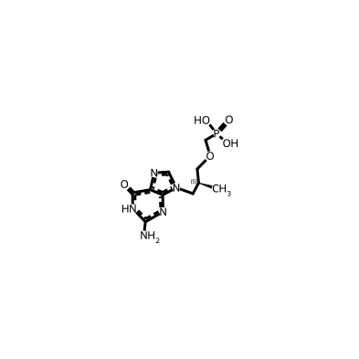 C[C@H](COCP(=O)(O)O)Cn1cnc2c(=O)[nH]c(N)nc21